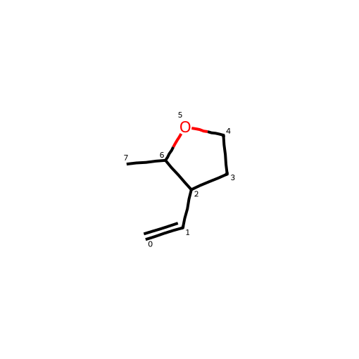 C=CC1CCOC1C